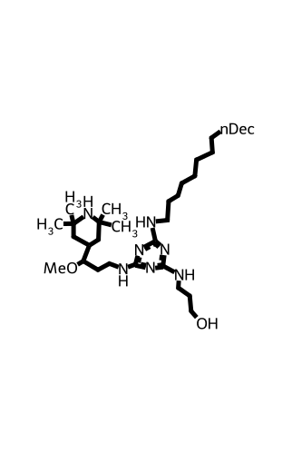 CCCCCCCCCCCCCCCCCCNc1nc(NCCCO)nc(NCCC(OC)C2CC(C)(C)NC(C)(C)C2)n1